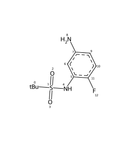 CC(C)(C)S(=O)(=O)Nc1cc(N)ccc1F